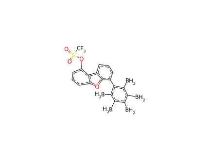 Bc1c(B)c(B)c(-c2cccc3c2oc2cccc(OS(=O)(=O)C(F)(F)F)c23)c(B)c1B